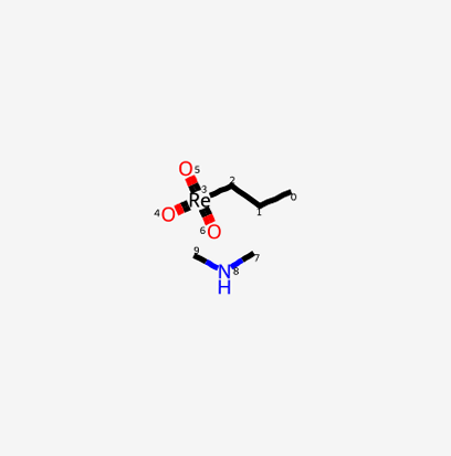 CC[CH2][Re](=[O])(=[O])=[O].CNC